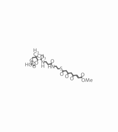 COC(=O)/C=C/C(=O)CC(=O)CC(=O)SCCNC(=O)CCNC(=O)[C@@H]1OP(=O)(O)OCC1(C)C